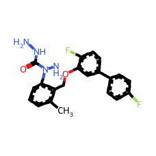 Cc1cccc(N(N)C(=O)NN)c1COc1cc(-c2ccc(F)cc2)ccc1F